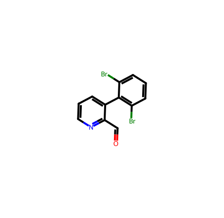 O=Cc1ncccc1-c1c(Br)cccc1Br